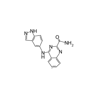 NC(=O)c1nc(Nc2ccc3[nH]ncc3c2)c2c[c]ccc2n1